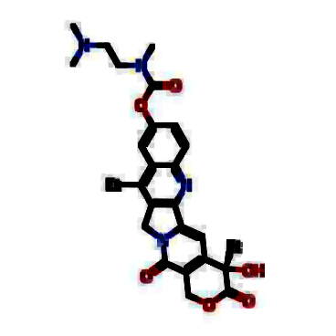 CCc1c2c(nc3ccc(OC(=O)N(C)CCN(C)C)cc13)-c1cc3c(c(=O)n1C2)COC(=O)[C@]3(O)CC